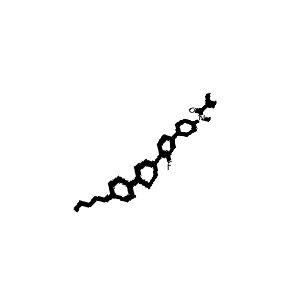 C=C(C)C(=O)N(C)C1CCC(c2ccc(C3CCC(C4CCC(CCCCC)CC4)CC3)c(F)c2)CC1